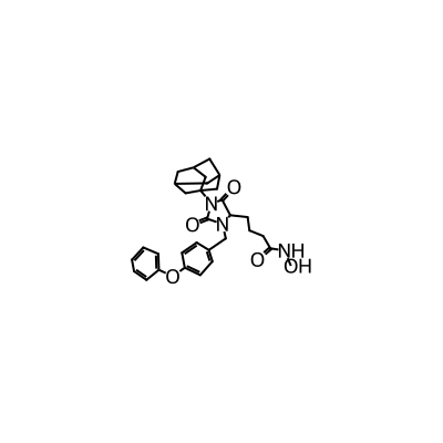 O=C(CCCC1C(=O)N(C23CC4CC(CC(C4)C2)C3)C(=O)N1Cc1ccc(Oc2ccccc2)cc1)NO